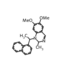 COc1cc2c(cc1OC)N(C(C)c1cccc3ccccc13)C(C)N=C2